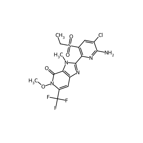 CCS(=O)(=O)c1cc(Cl)c(N)nc1-c1nc2cc(C(F)(F)F)n(OC)c(=O)c2n1C